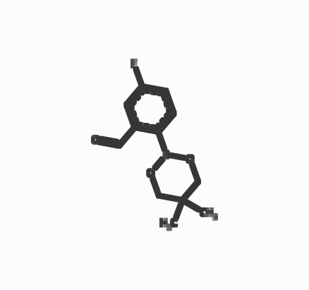 CC1(C)COB(c2ccc(F)cc2C=O)OC1